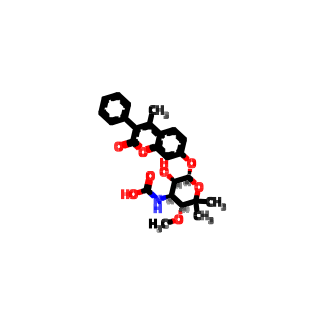 CO[C@@H]1[C@@H](NC(=O)O)[C@@H](O)[C@H](Oc2ccc3c(C)c(-c4ccccc4)c(=O)oc3c2)OC1(C)C